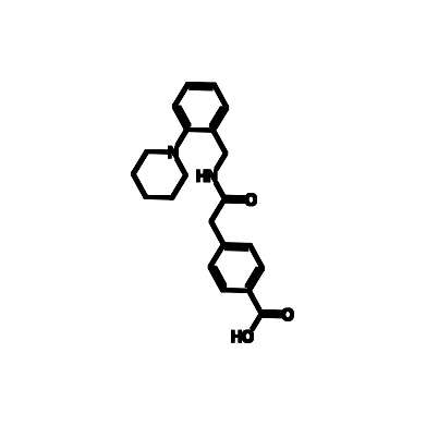 O=C(Cc1ccc(C(=O)O)cc1)NCc1ccccc1N1CCCCC1